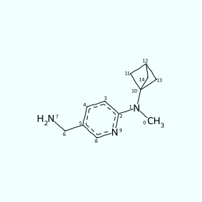 CN(c1ccc(CN)cn1)C12CC(C1)C2